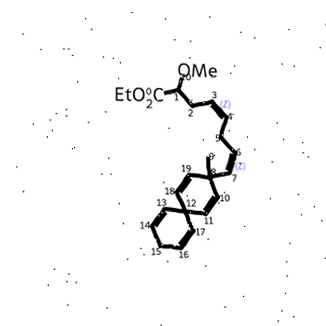 CCOC(=O)C(C/C=C\C/C=C\C1(C)C=CC2(C=CCC=C2)C=C1)OC